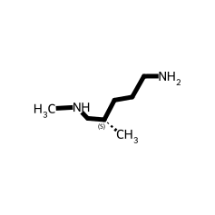 CNC[C@@H](C)CCCN